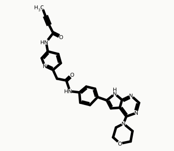 CC#CC(=O)Nc1ccc(CC(=O)Nc2ccc(-c3cc4c(N5CCOCC5)ncnc4[nH]3)cc2)nc1